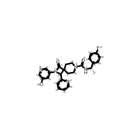 C[C@H](NC(=O)N1CCC2(CC1)C(=O)N(c1cncc(Cl)c1)C2c1ccccn1)c1ccc(F)cc1